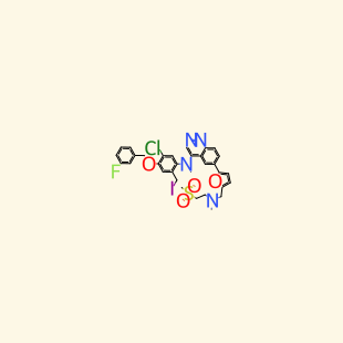 CN(CCS(C)(=O)=O)Cc1ccc(-c2ccc3nncc(N(C)c4cc(Cl)c(OCc5cccc(F)c5)cc4CI)c3c2)o1